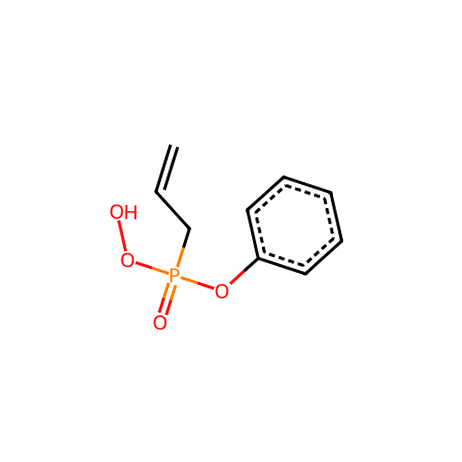 C=CCP(=O)(OO)Oc1ccccc1